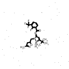 CC1=NOC(Cn2c(=NC(=O)c3cccc(C(F)(F)F)c3F)cc(C(C)(C)C)n2C)C1